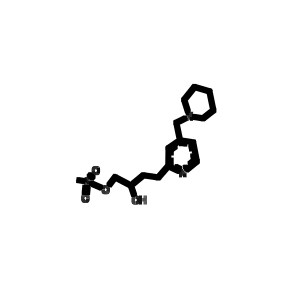 CS(=O)(=O)OCC(O)CCc1cc(CN2CCCCC2)ccn1